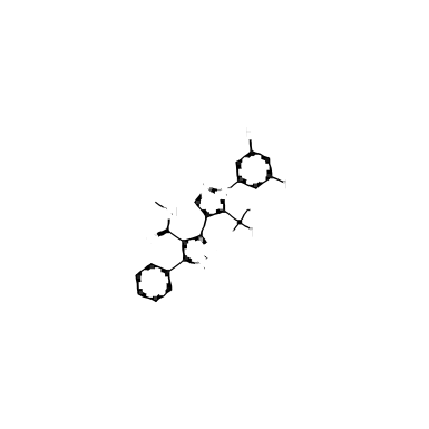 CNC(=O)c1c(-c2ccccc2)noc1-c1cnn(-c2cc(F)cc(F)c2)c1C(F)(F)I